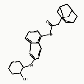 O=C(CC12CC3CC(CC(C3)C1)C2)Nc1cccc2nc(NC3CCCC[C@@H]3O)ccc12